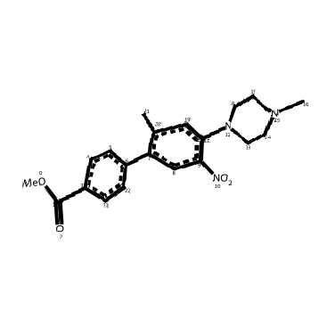 COC(=O)c1ccc(-c2cc([N+](=O)[O-])c(N3CCN(C)CC3)cc2C)cc1